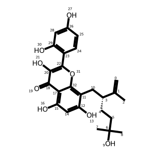 C=C(C)[C@H](CCC(C)(C)O)Cc1c(O)cc(O)c2c(=O)c(O)c(-c3ccc(O)cc3O)oc12